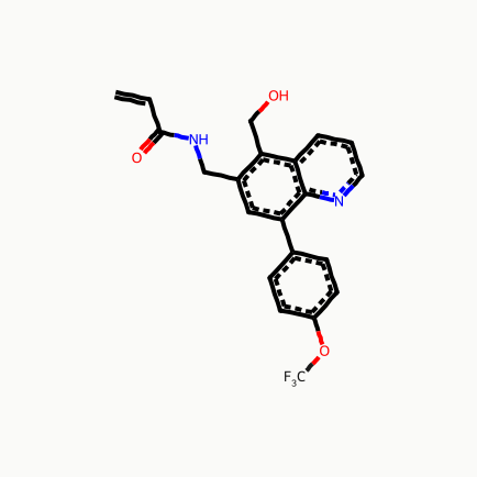 C=CC(=O)NCc1cc(-c2ccc(OC(F)(F)F)cc2)c2ncccc2c1CO